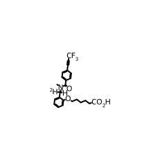 [2H]C([2H])(c1ccccc1OCCCCCC(=O)O)N(C)C(=O)c1ccc(C#CC(F)(F)F)cc1